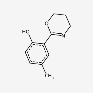 Cc1ccc(O)c(C2=NCCCO2)c1